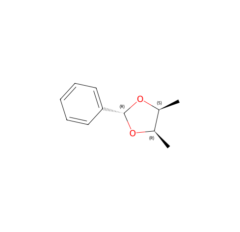 C[C@@H]1O[C@@H](c2ccccc2)O[C@@H]1C